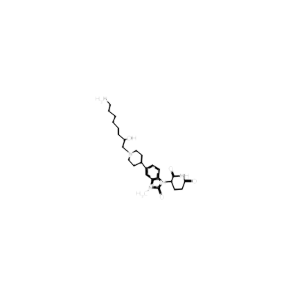 Cn1c(=O)n(C2CCC(=O)NC2=O)c2ccc(C3CCN(CC(O)CCCCCCN)CC3)cc21